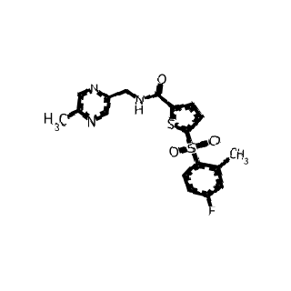 Cc1cnc(CNC(=O)c2ccc(S(=O)(=O)c3ccc(F)cc3C)s2)cn1